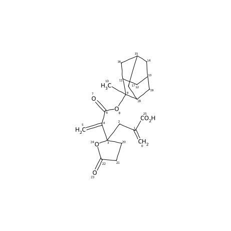 C=C(CC1(C(=C)C(=O)OC2(C)C3CC4CC(C3)CC2C4)CCC(=O)O1)C(=O)O